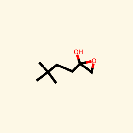 CC(C)(C)CCC1(O)CO1